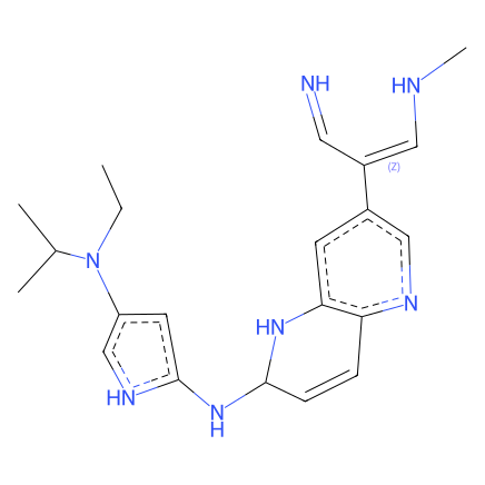 CCN(c1c[nH]c(NC2C=Cc3ncc(/C(C=N)=C/NC)cc3N2)c1)C(C)C